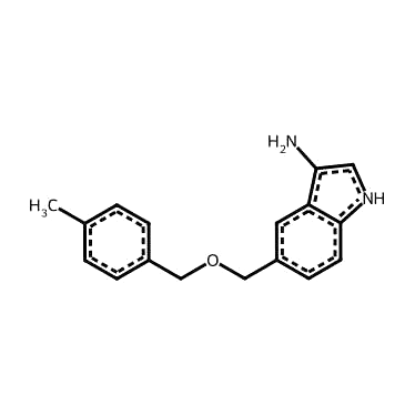 Cc1ccc(COCc2ccc3[nH]cc(N)c3c2)cc1